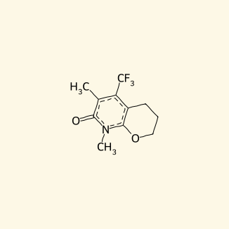 Cc1c(C(F)(F)F)c2c(n(C)c1=O)OCCC2